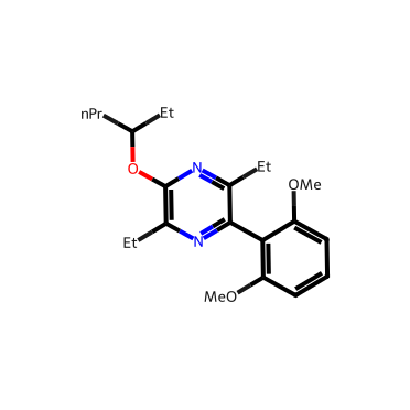 CCCC(CC)Oc1nc(CC)c(-c2c(OC)cccc2OC)nc1CC